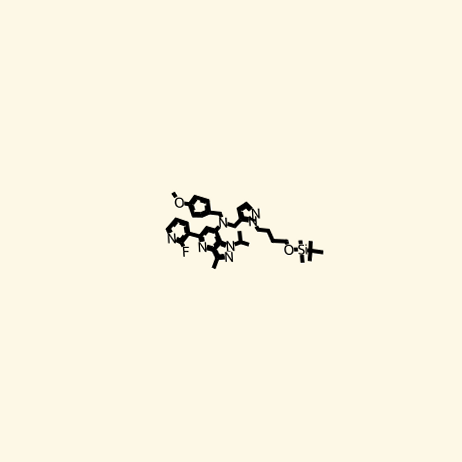 COc1ccc(CN(Cc2ccnn2CCCCO[Si](C)(C)C(C)(C)C)c2cc(-c3cccnc3F)nc3c(C)nn(C(C)C)c23)cc1